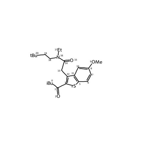 CCC(C)C(=O)c1sc2ccc(OC)cc2c1CC(=O)N(CC)CCC(C)(C)C